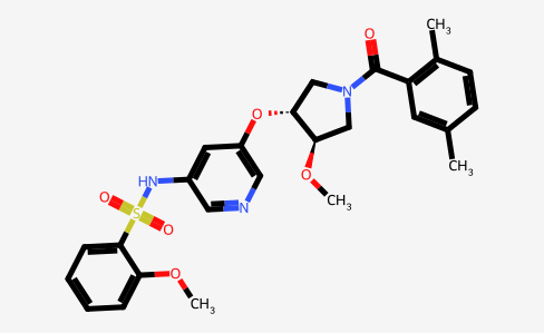 COc1ccccc1S(=O)(=O)Nc1cncc(O[C@@H]2CN(C(=O)c3cc(C)ccc3C)C[C@H]2OC)c1